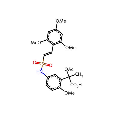 COc1cc(OC)c(C=CS(=O)(=O)Nc2ccc(OC)c(C(C)(OC(C)=O)C(=O)O)c2)c(OC)c1